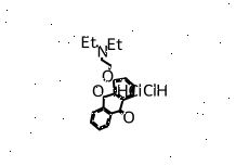 CCN(CC)CCOc1cccc2c1C(=O)c1ccccc1C2=O.Cl.Cl